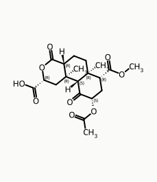 COC(=O)[C@@H]1C[C@H](OC(C)=O)C(=O)[C@H]2[C@@]1(C)CC[C@H]1C(=O)O[C@@H](C(=O)O)C[C@]21C